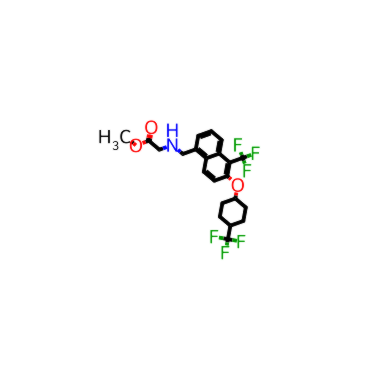 COC(=O)CNCc1cccc2c(C(F)(F)F)c(OC3CCC(C(F)(F)F)CC3)ccc12